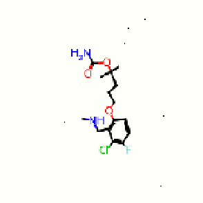 CNCc1c(OCCCC(C)(C)OC(N)=O)ccc(F)c1Cl